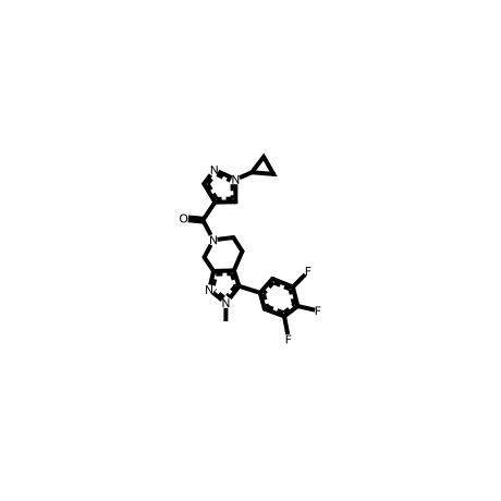 Cn1nc2c(c1-c1cc(F)c(F)c(F)c1)CCN(C(=O)c1cnn(C3CC3)c1)C2